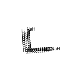 O.O.O.O.O.O.O.O.O.O.O.O.O.O.O.O.O.O.O.O.O.O.[NaH].[NaH]